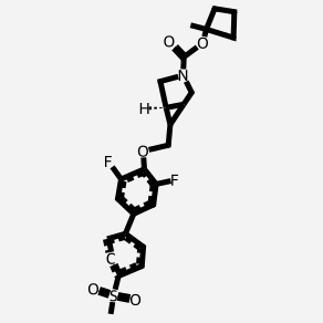 CC1(OC(=O)N2CC3C(COc4c(F)cc(-c5ccc(S(C)(=O)=O)cc5)cc4F)[C@H]3C2)CCC1